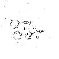 CCC(O)(CC)C(C)O.O=C(O)c1ccccc1.O=C(O)c1ccccc1